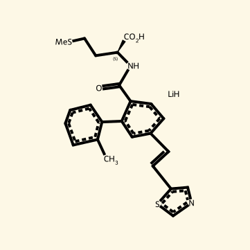 CSCC[C@H](NC(=O)c1ccc(C=Cc2cncs2)cc1-c1ccccc1C)C(=O)O.[LiH]